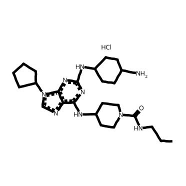 CCCNC(=O)N1CCC(Nc2nc(NC3CCC(N)CC3)nc3c2ncn3C2CCCC2)CC1.Cl